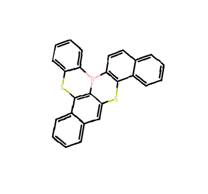 c1ccc2c(c1)Sc1c3c(cc4ccccc14)Sc1c(ccc4ccccc14)B23